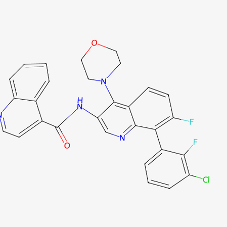 O=C(Nc1cnc2c(-c3cccc(Cl)c3F)c(F)ccc2c1N1CCOCC1)c1ccnc2ccccc12